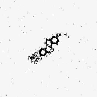 COc1ccc2c(c1)CCN(c1ccc(OS(=O)(=O)C(F)(F)F)cc1F)C2=O